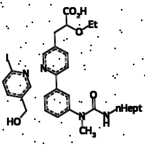 CCCCCCCNC(=O)N(C)c1cccc(-c2ccc(CC(OCC)C(=O)O)cn2)c1.OCc1ccc(I)nc1